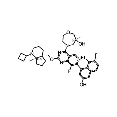 CCc1c(F)ccc2cc(O)cc(-c3ncc4c(N5CCOC[C@@](C)(O)C5)nc(OC[C@]56CCC[C@H]5N(C5CCC5)CCC6)nc4c3F)c12